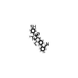 CCCc1nc(C)n(-c2ccc(S)cc2)c(=O)c1Cc1ccc(-c2ccccc2C#N)cc1